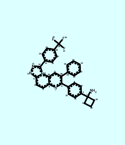 NC1(c2ccc(-c3nc4ccc5nnc(-c6ccc(C(F)(F)F)cc6)n5c4cc3-c3ccccc3)cc2)CCC1